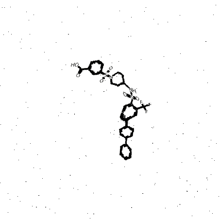 O=C(O)c1cccc(S(=O)(=O)N2CCC(NS(=O)(=O)c3ccc(-c4ccc(-c5ccccc5)cc4)cc3C(F)(F)F)CC2)c1